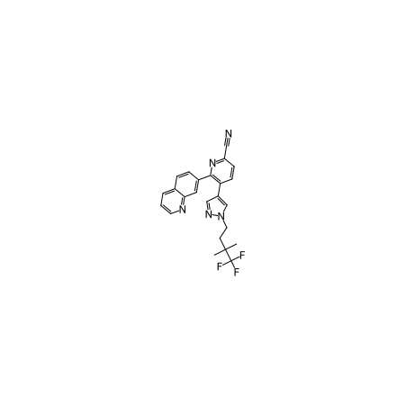 CC(C)(CCn1cc(-c2ccc(C#N)nc2-c2ccc3cccnc3c2)cn1)C(F)(F)F